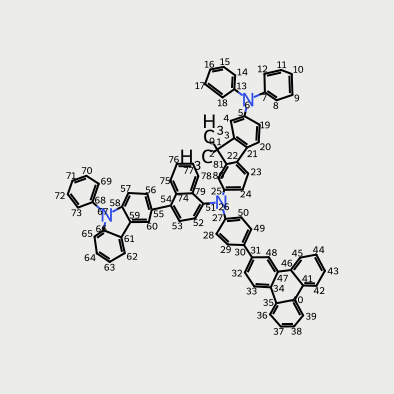 CC1(C)c2cc(N(c3ccccc3)c3ccccc3)ccc2-c2ccc(N(c3ccc(-c4ccc5c6ccccc6c6ccccc6c5c4)cc3)c3ccc(-c4ccc5c(c4)c4ccccc4n5-c4ccccc4)c4ccccc34)cc21